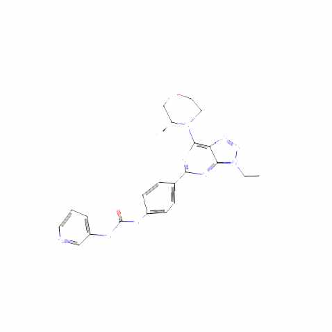 CCn1nnc2c(N3CCOC[C@@H]3C)nc(-c3ccc(NC(=O)Nc4cccnc4)cc3)nc21